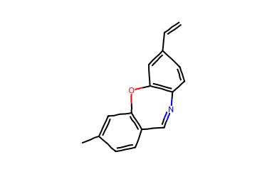 C=Cc1ccc2c(c1)Oc1cc(C)ccc1C=N2